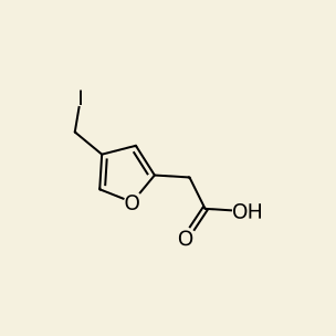 O=C(O)Cc1cc(CI)co1